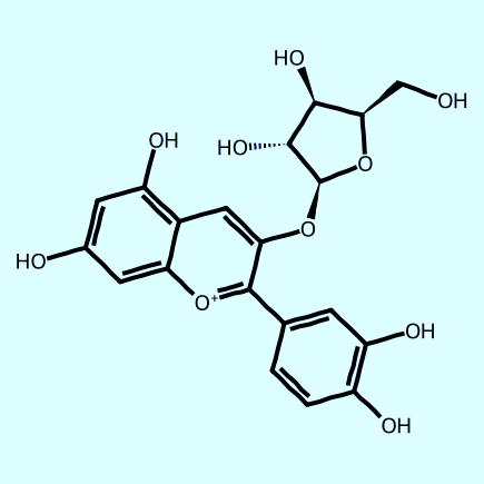 OC[C@H]1O[C@@H](Oc2cc3c(O)cc(O)cc3[o+]c2-c2ccc(O)c(O)c2)[C@H](O)[C@H]1O